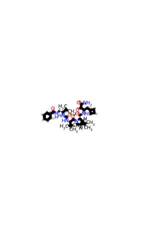 CC(C)[C@@H](CNC(=O)c1ccccc1)NC(=O)N[C@H](C(=O)N1C[C@H]2[C@@H]([C@H]1C(=O)NC(CC1CCC1)C(=O)C(N)=O)C2(C)C)C(C)(C)C